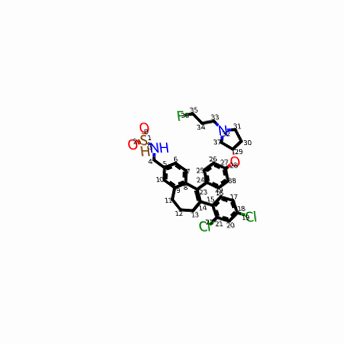 O=[SH](=O)NCc1ccc2c(c1)CCCC(c1ccc(Cl)cc1Cl)=C2c1ccc(O[C@H]2CCN(CCCF)C2)cc1